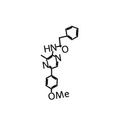 COc1ccc(-c2cnc(NC(=O)Cc3ccccc3)c(C)n2)cc1